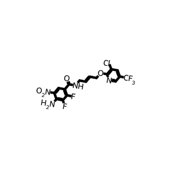 Nc1c([N+](=O)[O-])cc(C(=O)NCC=CCOc2ncc(C(F)(F)F)cc2Cl)c(F)c1F